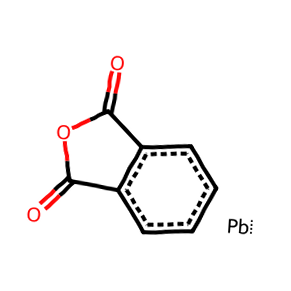 O=C1OC(=O)c2ccccc21.[Pb]